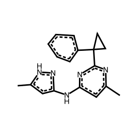 Cc1cc(Nc2cc(C)[nH]n2)nc(C2(c3ccccc3)CC2)n1